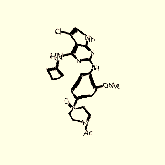 COc1cc(P2(=O)CCN(C(C)=O)CC2)ccc1Nc1nc(NC2CCC2)c2c(Cl)c[nH]c2n1